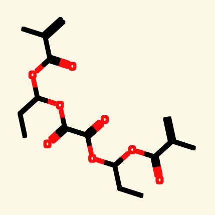 C=C(C)C(=O)OC(CC)OC(=O)C(=O)OC(CC)OC(=O)C(=C)C